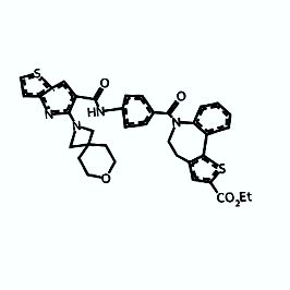 CCOC(=O)c1cc2c(s1)-c1ccccc1N(C(=O)c1ccc(NC(=O)c3cc4sccc4nc3N3CC4(CCOCC4)C3)cc1)CC2